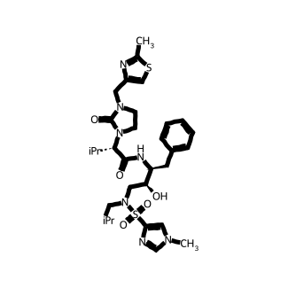 Cc1nc(CN2CCN([C@H](C(=O)N[C@@H](Cc3ccccc3)[C@@H](O)CN(CC(C)C)S(=O)(=O)c3cn(C)cn3)C(C)C)C2=O)cs1